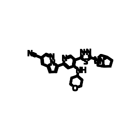 N#Cc1cnn2c(-c3cc(NC4CCOCC4)c(-c4nnc(N5CC6CCC(C5)N6)s4)cn3)ccc2c1